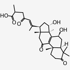 C/C(=C\C(=O)CC(C)C(=O)O)[C@H]1C[C@H](O)[C@@]2(C)C3=C(C(=O)C[C@]12C)[C@@]1(C)CCC(=O)C(C)(C)[C@@H]1C[C@@H]3O